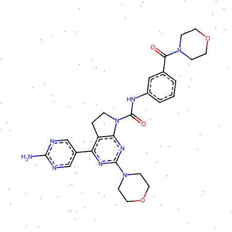 Nc1ncc(-c2nc(N3CCOCC3)nc3c2CCN3C(=O)Nc2cccc(C(=O)N3CCOCC3)c2)cn1